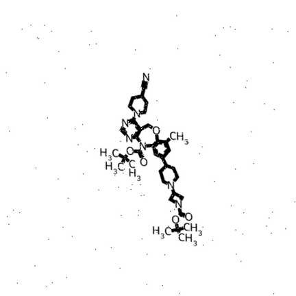 Cc1cc(C2CCN(C3CN(C(=O)OC(C)(C)C)C3)CC2)cc2c1OCc1c(N3CCC(C#N)CC3)ncnc1N2C(=O)OC(C)(C)C